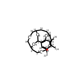 Oc1c(C2OC3CCCCCCCCCC(CCC3)O2)cc(I)c(I)c1I